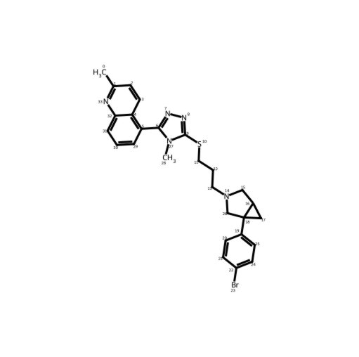 Cc1ccc2c(-c3nnc(SCCCN4CC5CC5(c5ccc(Br)cc5)C4)n3C)cccc2n1